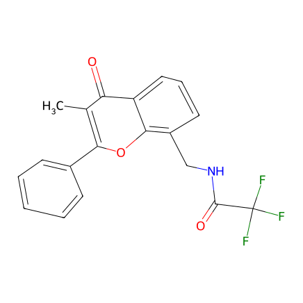 Cc1c(-c2ccccc2)oc2c(CNC(=O)C(F)(F)F)cccc2c1=O